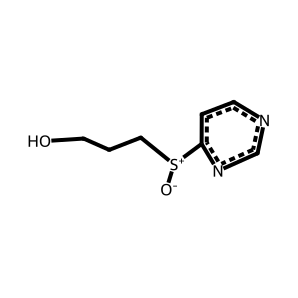 [O-][S+](CCCO)c1ccncn1